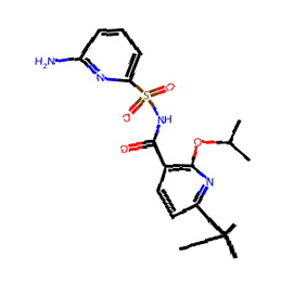 CC(C)Oc1nc(C(C)(C)C)ccc1C(=O)NS(=O)(=O)c1cccc(N)n1